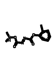 Cc1ccccc1OC(=O)N=NC(=O)O[SiH](C)C